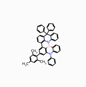 Cc1cc(C)c(-c2cc3c4c(c2)N(c2ccccc2)c2ccccc2B4N2c4ccccc4C(c4ccccc4)(c4ccccc4)c4cccc-3c42)c(C)c1